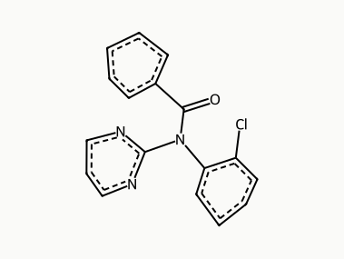 O=C(c1ccccc1)N(c1ncccn1)c1ccccc1Cl